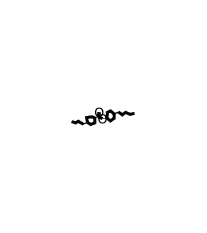 CCCCC[C@H]1CC[C@H](OC(=O)[C@H]2CC[C@H](CCCC)CC2)CC1